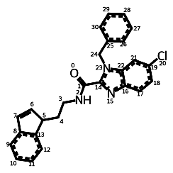 O=C(NCCC1C=Cc2ccccc21)c1nc2ccc(Cl)cc2n1Cc1ccccc1